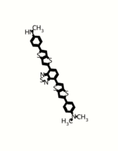 CNc1ccc(-c2cc3sc(-c4ccc(-c5cc6sc(-c7ccc(N(C)C)cc7)cc6s5)c5nsnc45)cc3s2)cc1